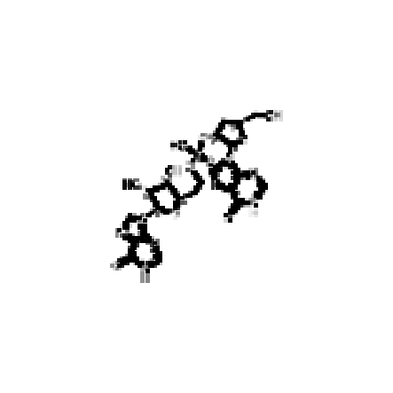 O=c1[nH]cnc2c1ncn2[C@@H]1O[C@H](CCOP(=O)(O)O[C@@H]2C[C@@H](CO)O[C@H]2n2cnc3c(=O)[nH]cnc32)[C@@H](O)[C@H]1O